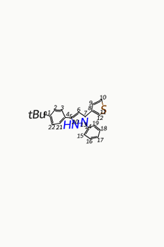 CC(C)(C)c1ccc(C2=CC(c3ccsc3)N(c3ccccc3)N2)cc1